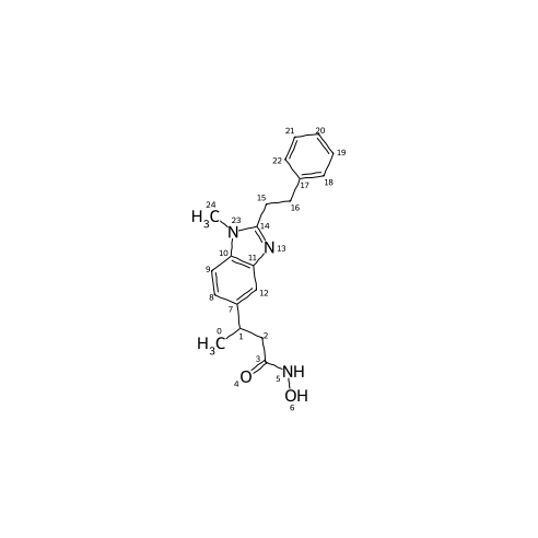 CC(CC(=O)NO)c1ccc2c(c1)nc(CCc1ccccc1)n2C